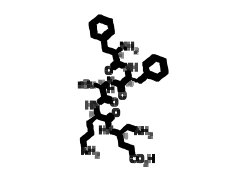 CCCC[C@@H](NC(=O)[C@@H](Cc1ccccc1)NC(=O)[C@H](N)Cc1ccccc1)C(=O)N[C@H](CCCN)C(=O)N[C@@H](CN)CCC(=O)O